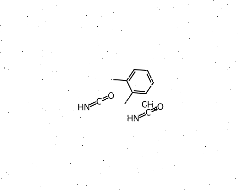 C.Cc1ccccc1C.N=C=O.N=C=O